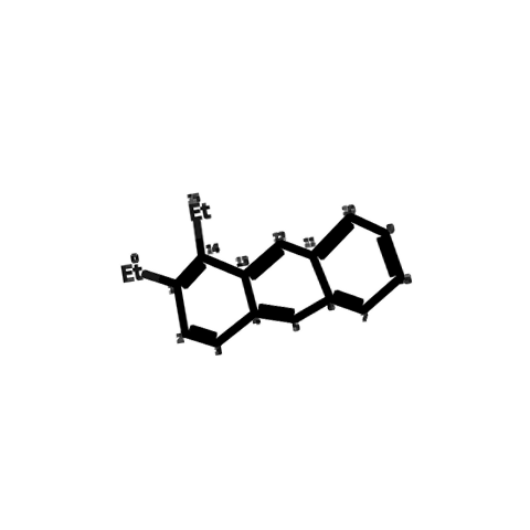 CCc1ccc2cc3c[c]ccc3cc2c1CC